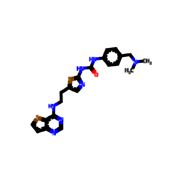 CN(C)Cc1ccc(NC(=O)Nc2ncc(CCNc3ncnc4ccsc34)s2)cc1